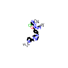 CC(C)CNN(C(=O)c1ccc(CN2CCN(CC3CCCN(C)C3)CC2)cc1)c1nc(C#N)ncc1Cl